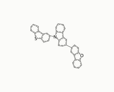 c1ccc2c(c1)oc1ccc(-c3ccc4c(c3)c3ccccc3n4-c3ccc4sc5ccccc5c4c3)cc12